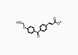 COC(=O)C=Cc1ccc(C(=O)c2ccc(OCO)cc2)cc1